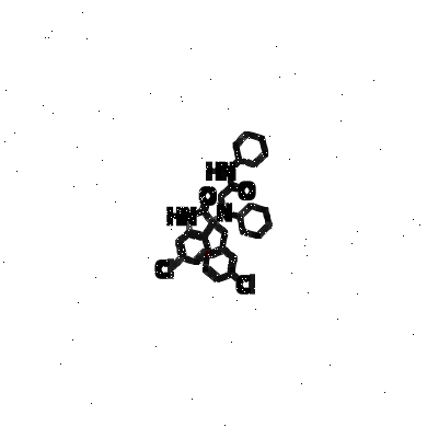 O=C(CN(C1CCCCC1)C1(Cc2cccc(Cl)c2)C(=O)Nc2cc(Cl)ccc21)NC1CCCCC1